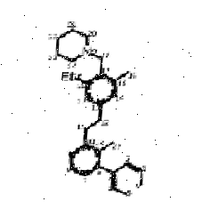 C/C=C\C(=C/C)c1cccc(CCc2cc(C)c(CN3CCCCC3)c(CC)c2)c1C